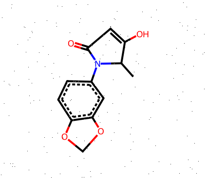 CC1C(O)=[C]C(=O)N1c1ccc2c(c1)OCO2